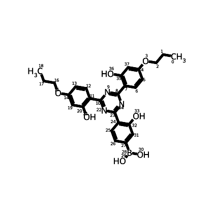 CCCOc1ccc(-c2nc(-c3ccc(OCCC)cc3O)nc(-c3ccc(B(O)O)cc3O)n2)c(O)c1